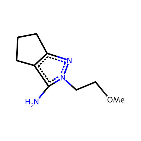 COCCn1nc2c(c1N)CCC2